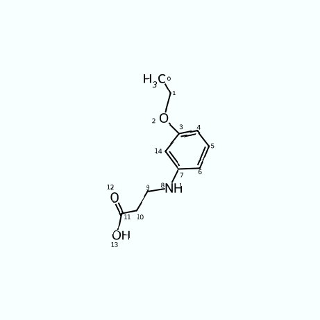 CCOc1cccc(NCCC(=O)O)c1